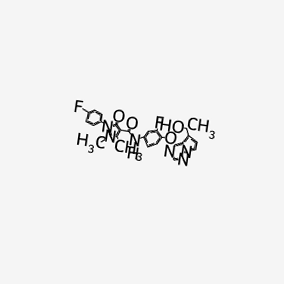 Cc1c(C(=O)Nc2ccc(Oc3ncnn4ccc(C(C)O)c34)c(F)c2)c(=O)n(-c2ccc(F)cc2)n1C